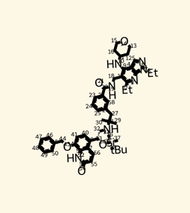 CCc1nc2c(cnn2CC)c(NC2CCOCC2)c1CNC(=O)c1cccc(CC(C)(C)NC[C@H](O[Si](C)(C)C(C)(C)C)c2ccc(OCc3ccccc3)c3[nH]c(=O)ccc23)c1